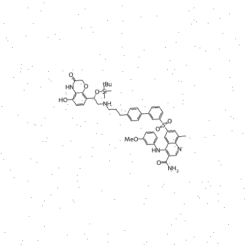 COc1cccc(Nc2c(C(N)=O)cnc3c(C)cc(S(=O)(=O)c4cccc(-c5ccc(CCCNCC(O[Si](C)(C)C(C)(C)C)c6ccc(O)c7c6OCC(=O)N7)cc5)c4)cc23)c1